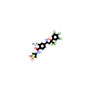 Cc1cc(C2=NOC(c3cc(Cl)c(Cl)c(Cl)c3)(C(F)(F)F)C2)ccc1C(=O)NC1CS(=O)(=O)C1